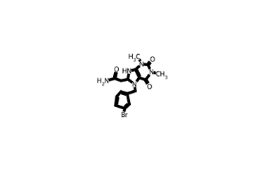 Cn1c2c(c(=O)n(C)c1=O)N(Cc1cccc(Br)c1)C(CC(N)=O)N2